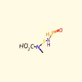 CN(SN[PH2]=O)C(=O)O